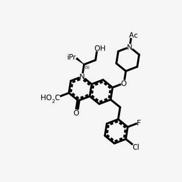 CC(=O)N1CCC(Oc2cc3c(cc2Cc2cccc(Cl)c2F)c(=O)c(C(=O)O)cn3[C@H](CO)C(C)C)CC1